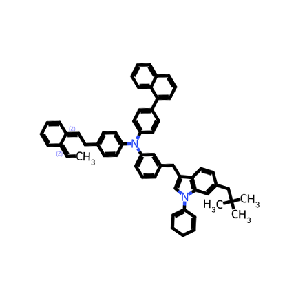 C/C=c1/cccc/c1=C/Cc1ccc(N(c2ccc(-c3cccc4ccccc34)cc2)c2cccc(Cc3cn(C4=CCCC=C4)c4cc(CC(C)(C)C)ccc34)c2)cc1